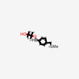 CSCc1ccc(BOC(C)(C)C(C)(C)O)cc1